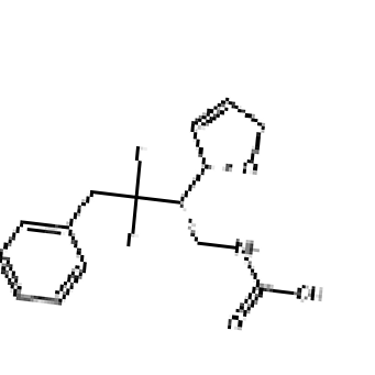 O=C(O)NC[C@@H]([C@@H]1C=CCO1)C(F)(F)Cc1ccccc1